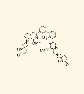 COc1nc(-c2cccc(-c3cccc(-c4cc5c(c(OC)n4)[C@@H](N4CC6(CCC(=O)N6)C4)CC5)c3Cl)c2Cl)cnc1CN1CC2(CCC(=O)N2)C1